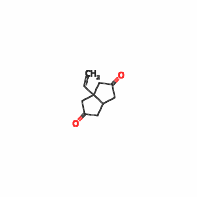 C=CC12CC(=O)CC1CC(=O)C2